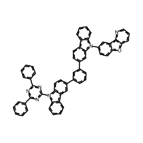 c1ccc(-c2nc(-c3ccccc3)nc(-n3c4ccccc4c4cc(-c5cccc(-c6ccc7c8ccccc8n(-c8ccc9oc%10cccnc%10c9c8)c7c6)c5)ccc43)n2)cc1